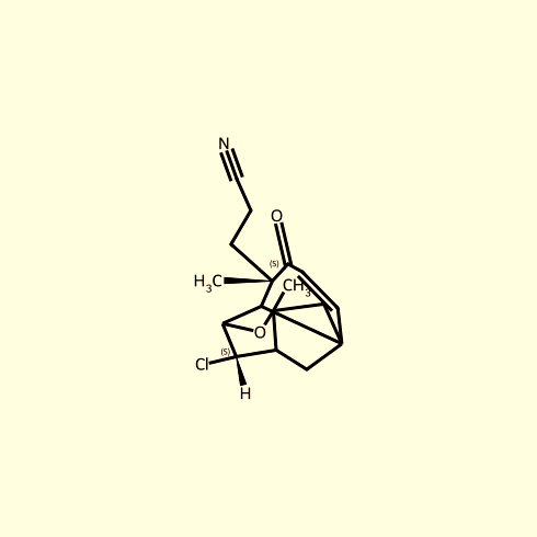 CC12CC34C=CC(=O)[C@@](C)(CCC#N)C3C(O1)[C@@H](Cl)C2C4